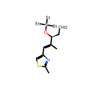 CC[Si](CC)(CC)O[C@@H](CC=O)/C(C)=C/c1csc(C)n1